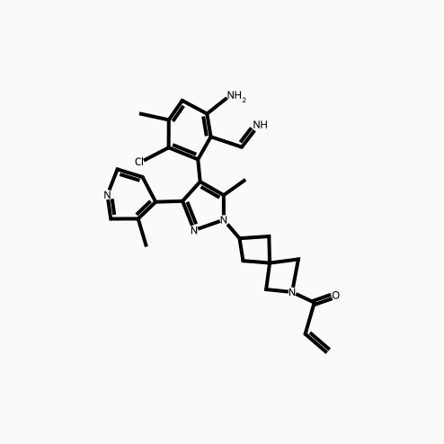 C=CC(=O)N1CC2(CC(n3nc(-c4ccncc4C)c(-c4c(Cl)c(C)cc(N)c4C=N)c3C)C2)C1